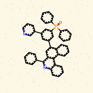 O=P(c1ccccc1)(c1ccccc1)c1cc(-c2cccnc2)cc(-c2cc3c(-c4ccccc4)nc4ccccc4c3c3ccccc23)c1